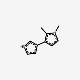 Cc1c(-c2cc[nH]c2)cnn1C